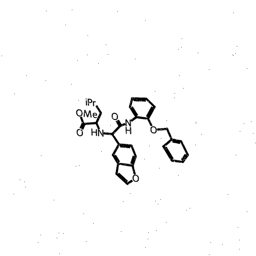 COC(=O)C(CC(C)C)NC(C(=O)Nc1ccccc1OCc1ccccc1)c1ccc2occc2c1